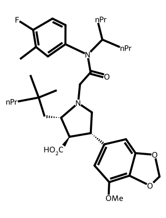 CCCC(CCC)N(C(=O)CN1C[C@H](c2cc(OC)c3c(c2)OCO3)[C@@H](C(=O)O)[C@@H]1CC(C)(C)CCC)c1ccc(F)c(C)c1